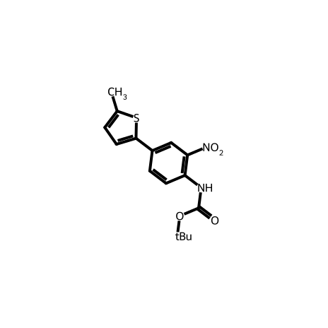 Cc1ccc(-c2ccc(NC(=O)OC(C)(C)C)c([N+](=O)[O-])c2)s1